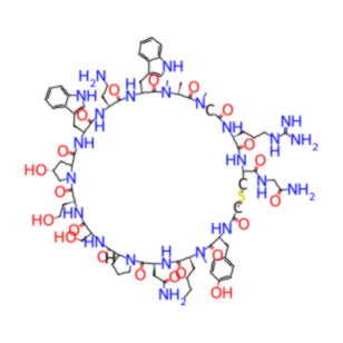 CCCC[C@H]1C(=O)N[C@@H](CC(N)=O)C(=O)N2CCC[C@H]2C(=O)N[C@@H](CO)C(=O)N[C@@H](CCO)C(=O)N2C[C@H](O)CC2C(=O)N[C@@H](Cc2c[nH]c3ccccc23)C(=O)N[C@@H](CCN)C(=O)N[C@@H](Cc2c[nH]c3ccccc23)C(=O)N(C)[C@@H](C)C(=O)N(C)CC(=O)N[C@@H](CCCNC(=N)N)C(=O)NC(C(=O)NCC(N)=O)CSCC(=O)N[C@@H](Cc2ccc(O)cc2)C(=O)N1C